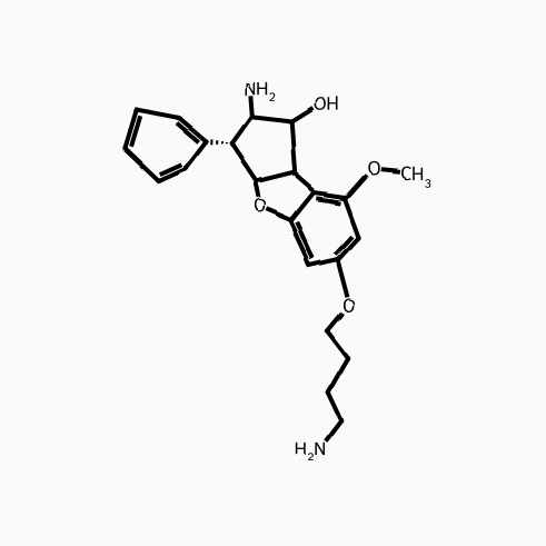 COc1cc(OCCCCN)cc2c1C1C(O)C(N)[C@@H](c3ccccc3)C1O2